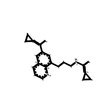 CC(NCCCc1cc(C(C)=C2CC2)cc2cccnc12)=C1CC1